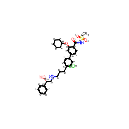 CS(=O)(=O)NC(=O)c1ccc(-c2ccc(CCCNC[C@@H](O)c3ccccc3)cc2)cc1OC1CCCCC1.Cl